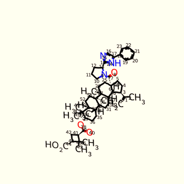 C=C(C)[C@@H]1CC[C@]2(C(=O)N3CCC[C@H]3c3ncc(-c4ccccc4)[nH]3)CC[C@]3(C)[C@H](CC[C@@H]4C5(C)CC[C@H](OC(=O)[C@@H]6C[C@H](C(=O)O)C6(C)C)C(C)(C)[C@@H]5CC[C@]43C)[C@@H]12